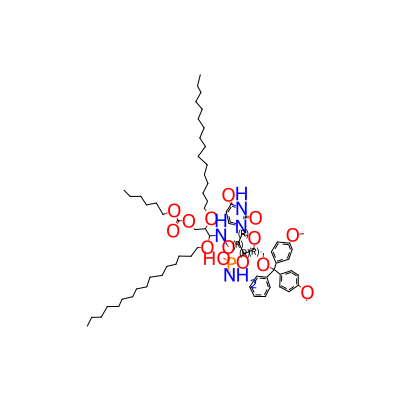 CCCCCCCCCCCCCCCCOC(COC(=O)OCCCCCC)C(NO[C@@H]1[C@H](OP(N)O)[C@@H](COC(c2ccccc2)(c2ccc(OC)cc2)c2ccc(OC)cc2)O[C@H]1n1ccc(=O)[nH]c1=O)OCCCCCCCCCCCCCCCC